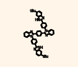 CC(C)(C)c1ccc2nc(-c3ccc(-n4c(-c5ccc(-c6nc7ccccc7n6-c6ccc(-c7nc8ccc(C(C)(C)C)cc8[nH]7)cc6)cc5)nc5ccccc54)cc3)[nH]c2c1